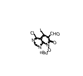 CCCCOn1c(=O)c(C=O)c(I)c2c(Cl)ncnc21